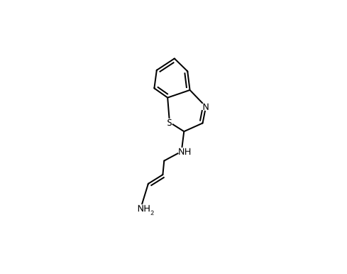 NC=CCNC1C=Nc2ccccc2S1